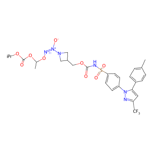 Cc1ccc(-c2cc(C(F)(F)F)nn2-c2ccc(S(=O)(=O)NC(=O)OCC3CN(/[N+]([O-])=N\OC(C)OC(=O)OC(C)C)C3)cc2)cc1